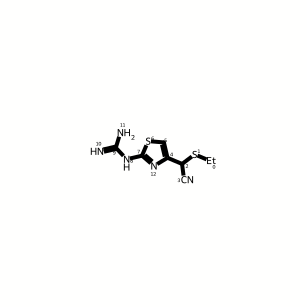 CCSC(C#N)c1csc(NC(=N)N)n1